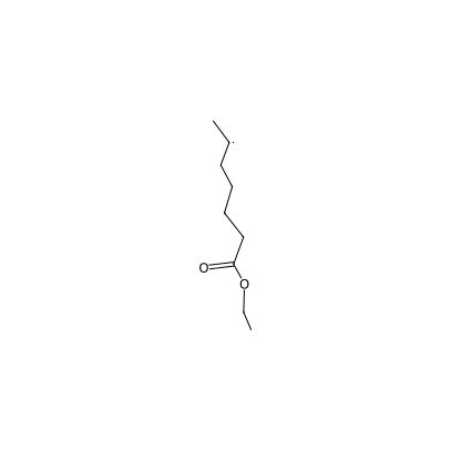 C[CH]CCCCC(=O)OCC